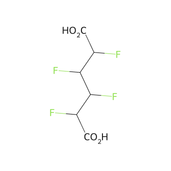 O=C(O)C(F)C(F)C(F)C(F)C(=O)O